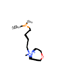 CC(C)(C)P(CCCC[N+]1(C)CCOCC1)C(C)(C)C